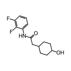 O=C(CC1CCC(O)CC1)Nc1cccc(F)c1F